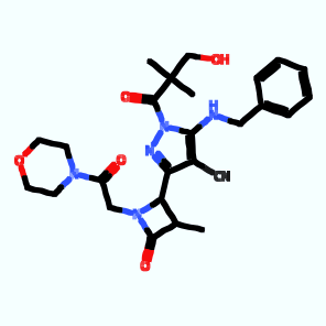 CC1C(=O)N(CC(=O)N2CCOCC2)C1c1nn(C(=O)C(C)(C)CO)c(NCc2ccccc2)c1C#N